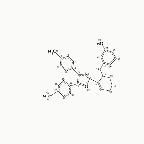 Cc1ccc(-c2nc(C3=CCCCC3Cc3cccc(O)c3)oc2-c2ccc(C)cc2)cc1